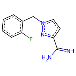 N=C(N)c1ccn(Cc2ccccc2F)n1